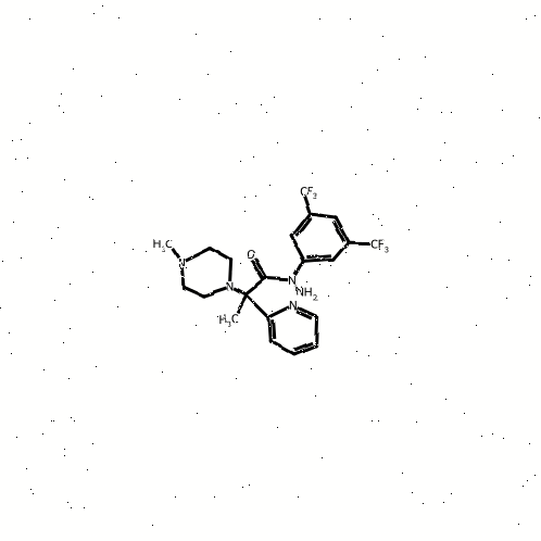 CN1CCN(C(C)(C(=O)N(N)c2cc(C(F)(F)F)cc(C(F)(F)F)c2)c2ccccn2)CC1